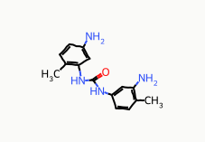 Cc1ccc(NC(=O)Nc2cc(N)ccc2C)cc1N